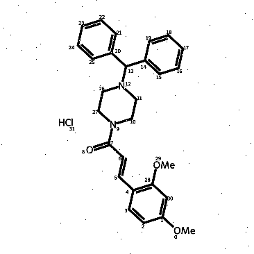 COc1ccc(C=CC(=O)N2CCN(C(c3ccccc3)c3ccccc3)CC2)c(OC)c1.Cl